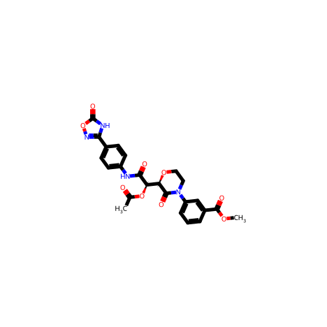 COC(=O)c1cccc(N2CCO[C@H]([C@@H](OC(C)=O)C(=O)Nc3ccc(-c4noc(=O)[nH]4)cc3)C2=O)c1